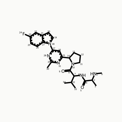 CNC(C)C(=O)NC(C(=O)N1CCCC1c1cc(-n2ccc3cc(F)ccc32)nc(C)n1)C(C)C